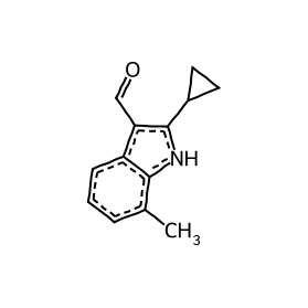 Cc1cccc2c(C=O)c(C3CC3)[nH]c12